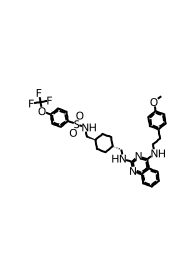 COc1ccc(CCNc2nc(NC[C@H]3CC[C@H](CNS(=O)(=O)c4ccc(OC(F)(F)F)cc4)CC3)nc3ccccc23)cc1